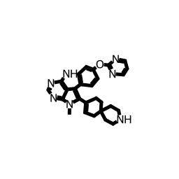 Cn1c(C2=CCC3(CCNCC3)CC2)c(-c2ccc(Oc3ncccn3)cc2)c2c(N)ncnc21